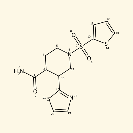 NC(=O)C1CCN(S(=O)(=O)c2cccs2)CC1c1nccs1